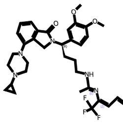 C=C/C=C(\N=C(/C)NCCC[C@H](c1ccc(OC)c(OC)c1)N1Cc2c(cccc2N2CCN(C3CC3)CC2)C1=O)C(F)(F)F